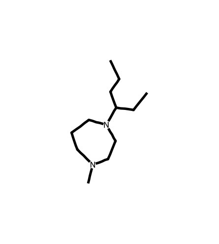 CCCC(CC)N1CCCN(C)CC1